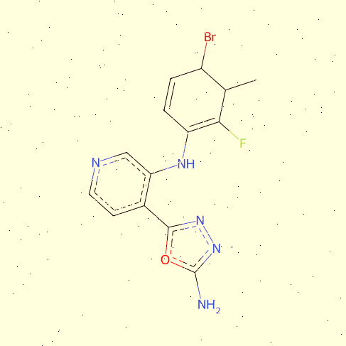 CC1C(F)=C(Nc2cnccc2-c2nnc(N)o2)C=CC1Br